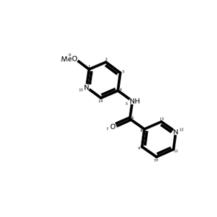 COc1ccc(NC(=O)c2cccnc2)cn1